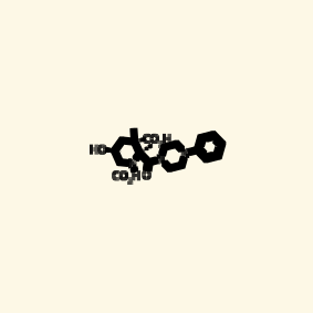 C[C@]1(C(=O)N2CCN(c3ccccc3)CC2)N(C(=O)O)C[C@@H](O)C[C@]1(C)C(=O)O